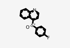 [O-][S+](c1ccc(F)cc1)c1ccnc2ccccc12